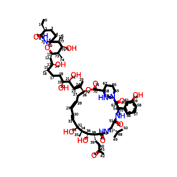 CC[C@H]1C[C@H](C)[C@@]2(NC1=O)O[C@@H](C[C@H](O)[C@@H](C)CC[C@H](O)[C@@H](O)/C=C(\C)[C@@H]1C/C=C/C=C/[C@H](O)[C@H](C)[C@@H](O)[C@@H](CCC(C)=O)C(=O)N[C@@H](C(C)C)C(=O)NC(c3cccc(O)c3)C(=O)N3CCCC(N3)C(=O)O1)[C@H](C)[C@H](O)[C@@H]2C